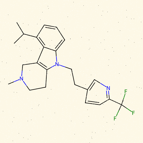 CC(C)c1cccc2c1c1c(n2CCc2ccc(C(F)(F)F)nc2)CCN(C)C1